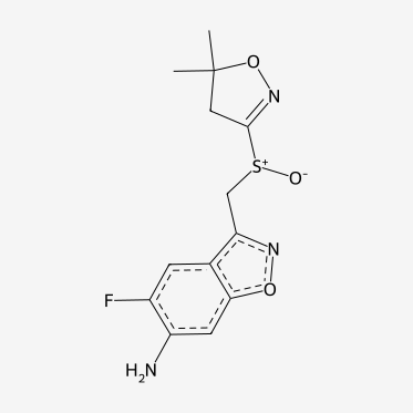 CC1(C)CC([S+]([O-])Cc2noc3cc(N)c(F)cc23)=NO1